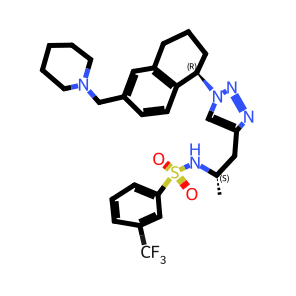 C[C@@H](Cc1cn([C@@H]2CCCc3cc(CN4CCCCC4)ccc32)nn1)NS(=O)(=O)c1cccc(C(F)(F)F)c1